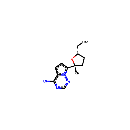 CC(=O)OC[C@@H]1CC[C@](C#N)(c2ccc3c(N)ncnn23)O1